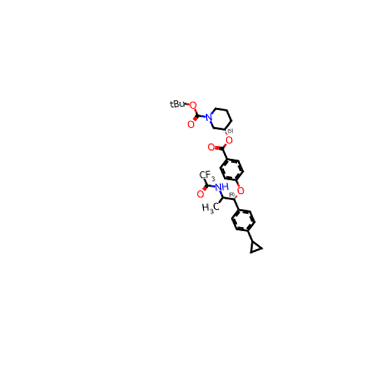 CC(NC(=O)C(F)(F)F)[C@H](Oc1ccc(C(=O)O[C@H]2CCCN(C(=O)OC(C)(C)C)C2)cc1)c1ccc(C2CC2)cc1